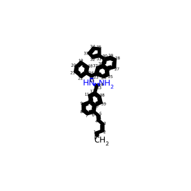 C=C/C=C\C=Cc1cccc2cc(C(N)NC(c3ccccc3)c3ccc4cccc(C5=CC=CC5)c4c3)ccc12